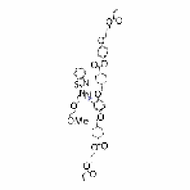 C=CC(=O)OCCCOC(=O)C1CCC(COc2ccc(OCC3CCC(C(=O)Oc4ccc(OCCCOC(=O)C=C)cc4)CC3)c(/C=N/N(CCOCCOC)c3nc4ccccc4s3)c2)CC1